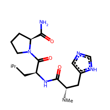 CN[C@@H](Cc1cnc[nH]1)C(=O)N[C@@H](CC(C)C)C(=O)N1CCC[C@H]1C(N)=O